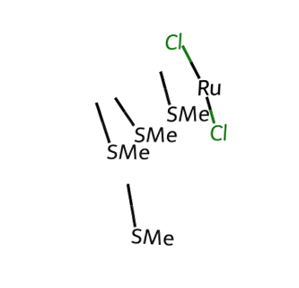 CSC.CSC.CSC.CSC.[Cl][Ru][Cl]